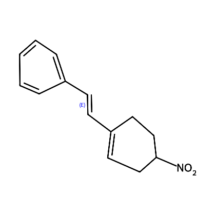 O=[N+]([O-])C1CC=C(/C=C/c2ccccc2)CC1